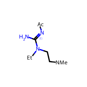 CCN(CCNC)/C(N)=N/C(C)=O